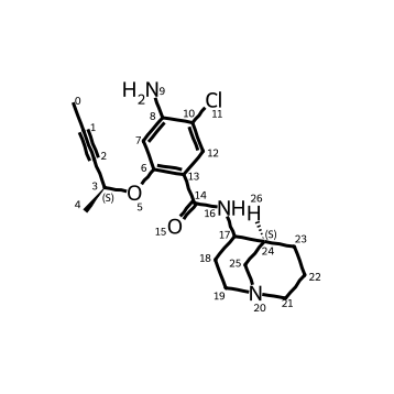 CC#C[C@H](C)Oc1cc(N)c(Cl)cc1C(=O)NC1CCN2CCC[C@H]1C2